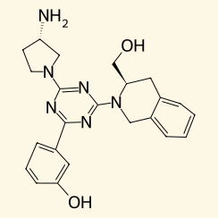 N[C@H]1CCN(c2nc(-c3cccc(O)c3)nc(N3Cc4ccccc4C[C@@H]3CO)n2)C1